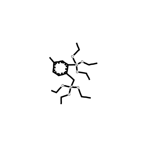 CCO[Si](Cc1ccc(C)cc1[Si](OCC)(OCC)OCC)(OCC)OCC